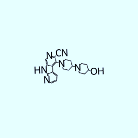 N#Cc1ncc2[nH]c3ncccc3c2c1N1CCC(N2CCC(O)CC2)CC1